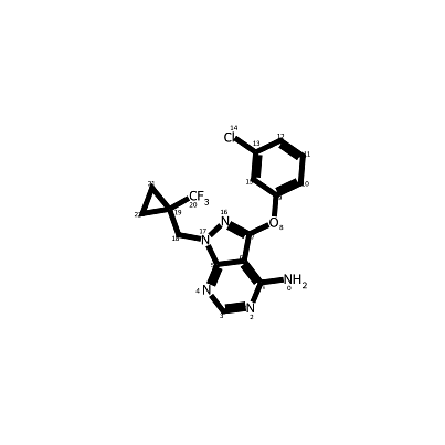 Nc1ncnc2c1c(Oc1cccc(Cl)c1)nn2CC1(C(F)(F)F)CC1